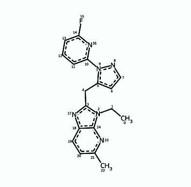 CCn1c(Cc2ccnn2-c2cccc(F)n2)nc2ccc(C)nc21